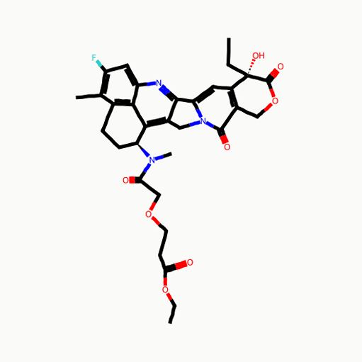 CCOC(=O)CCOCC(=O)N(C)[C@H]1CCc2c(C)c(F)cc3nc4c(c1c23)Cn1c-4cc2c(c1=O)COC(=O)[C@]2(O)CC